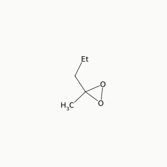 CCCC1(C)OO1